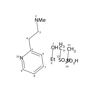 CCO.CNCCc1ccccn1.CS(=O)(=O)O.CS(=O)(=O)O